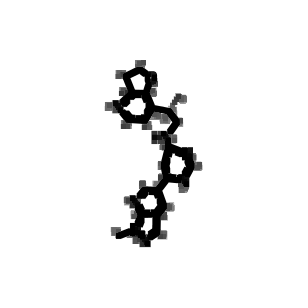 C[C@H](CNc1cc(-c2cnc3c(cnn3C)c2)ncn1)c1ccnc2c1OCC2